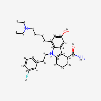 CCN(CC)CCCCc1cc(O)cc2c3c(n(CCc4cccc(F)c4)c12)CCCC3C(N)=O